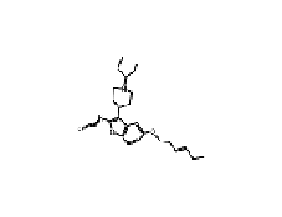 CCC=CCCOc1ccc2oc(N=C=O)c(C3CCN(C(CC)CC)CC3)c2c1